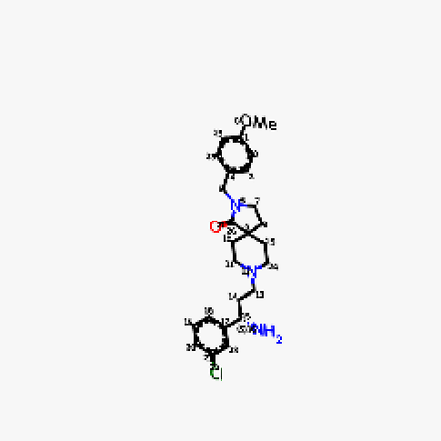 COc1ccc(CN2CCC3(CCN(CC[C@H](N)c4cccc(Cl)c4)CC3)C2=O)cc1